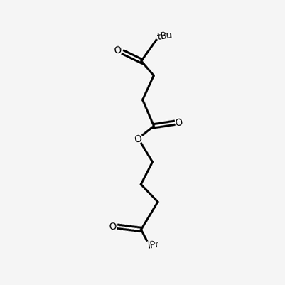 CC(C)C(=O)CCCOC(=O)CCC(=O)C(C)(C)C